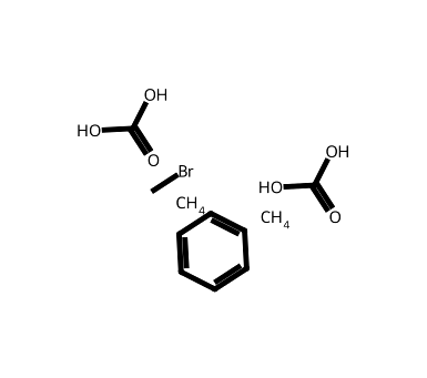 C.C.CBr.O=C(O)O.O=C(O)O.c1ccccc1